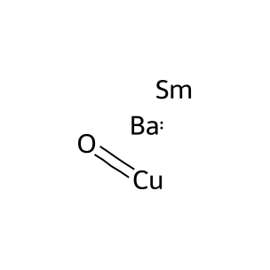 [Ba].[O]=[Cu].[Sm]